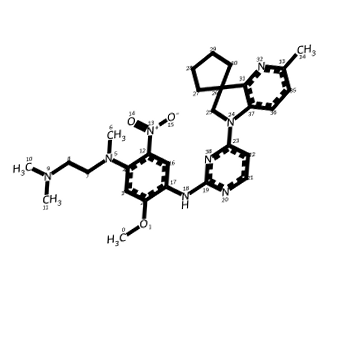 COc1cc(N(C)CCN(C)C)c([N+](=O)[O-])cc1Nc1nccc(N2CC3(CCCC3)c3nc(C)ccc32)n1